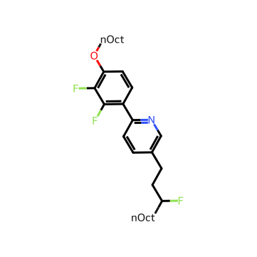 CCCCCCCCOc1ccc(-c2ccc(CCC(F)CCCCCCCC)cn2)c(F)c1F